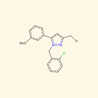 COc1cccc(-c2cc(CBr)nn2Cc2ccccc2Cl)c1